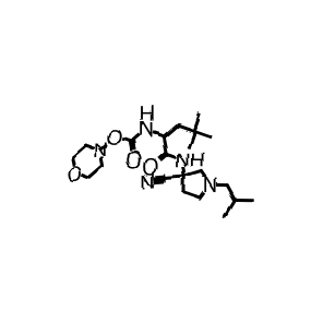 CC(C)CN1CCC(C#N)(NC(=O)C(CC(C)(C)C)NC(=O)ON2CCOCC2)C1